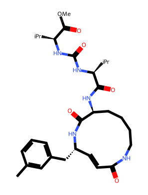 COC(=O)[C@@H](NC(=O)N[C@H](C(=O)N[C@H]1CCCCNC(=O)/C=C/[C@H](Cc2cccc(C)c2)NC1=O)C(C)C)C(C)C